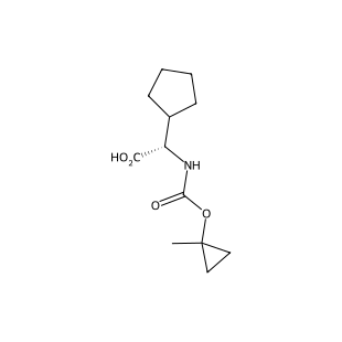 CC1(OC(=O)N[C@H](C(=O)O)C2CCCC2)CC1